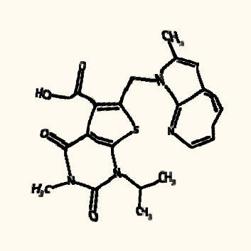 Cc1cc2cccnc2n1Cc1sc2c(c1C(=O)O)c(=O)n(C)c(=O)n2C(C)C